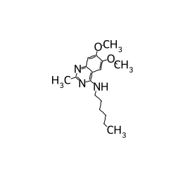 CCCCCCNc1nc(C)nc2cc(OC)c(OC)cc12